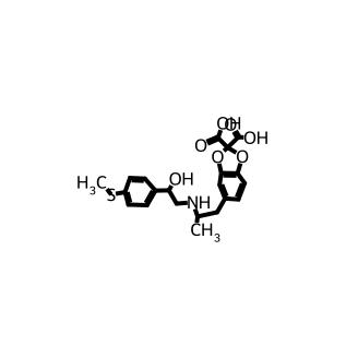 CSc1ccc(C(O)CNC(C)Cc2ccc3c(c2)OC(C(=O)O)(C(=O)O)O3)cc1